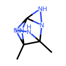 CC12NN3C4(NN41)NC32C